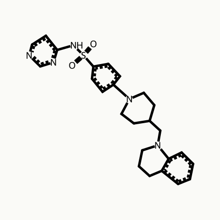 O=S(=O)(Nc1ccncn1)c1ccc(N2CCC(CN3CCCc4ccccc43)CC2)cc1